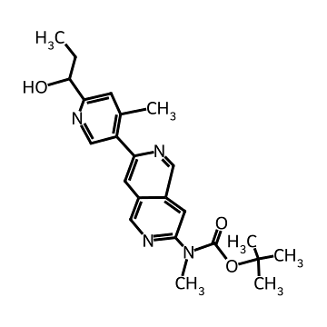 CCC(O)c1cc(C)c(-c2cc3cnc(N(C)C(=O)OC(C)(C)C)cc3cn2)cn1